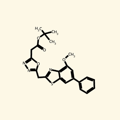 COc1cc(-c2ccccc2)cc2sc(Cc3nnc(CC(=O)OC(C)(C)C)o3)nc12